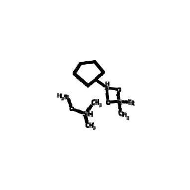 CC[Si]1(C)O[SiH](C2CCCCC2)O1.C[SiH](C)O[SiH3]